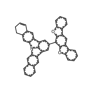 C1=Cc2cc3c4cc(-c5c6oc7ccccc7c6cc6c5oc5ccccc56)cc5c6cc7ccccc7cc6n(c3cc2CC1)c45